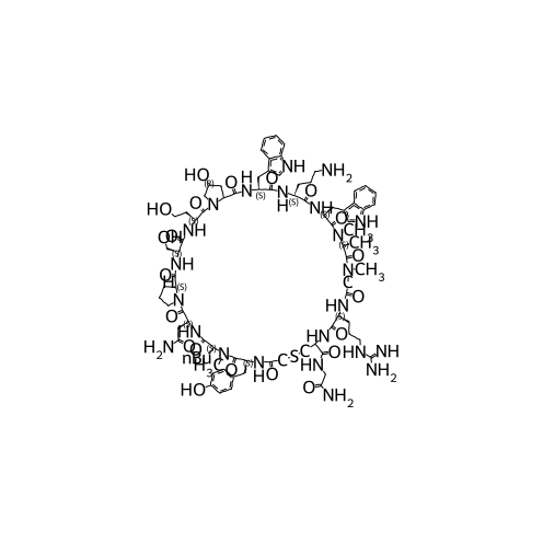 CCCC[C@H]1C(=O)N[C@@H](CC(N)=O)C(=O)N2CCC[C@H]2C(=O)N[C@@H](CO)C(=O)N[C@@H](CCO)C(=O)N2C[C@H](O)CC2C(=O)N[C@@H](Cc2c[nH]c3ccccc23)C(=O)N[C@@H](CCCN)C(=O)N[C@@H](Cc2c[nH]c3ccccc23)C(=O)N(C)[C@@H](C)C(=O)N(C)CC(=O)N[C@@H](CCCNC(=N)N)C(=O)NC(C(=O)NCC(N)=O)CSCC(=O)N[C@@H](Cc2ccc(O)cc2)C(=O)N1C